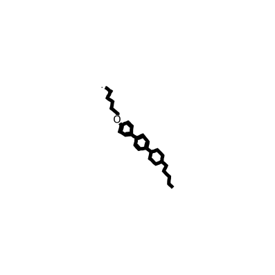 [CH2]CCCCCOc1ccc(-c2ccc(C3CCC(CCCCC)CC3)cc2)cc1